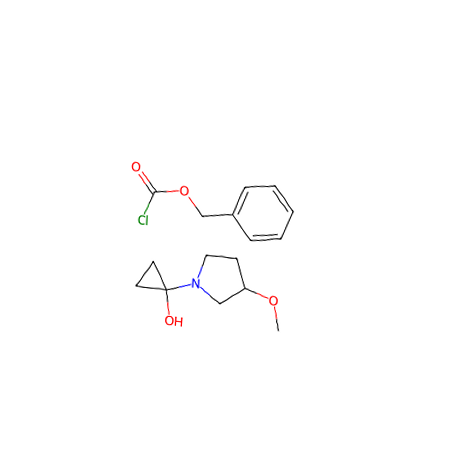 COC1CCN(C2(O)CC2)C1.O=C(Cl)OCc1ccccc1